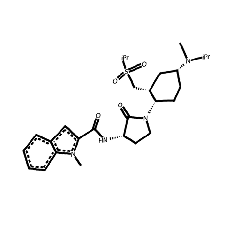 CC(C)N(C)[C@@H]1CC[C@H](N2CC[C@H](NC(=O)c3cc4ccccc4n3C)C2=O)[C@H](CS(=O)(=O)C(C)C)C1